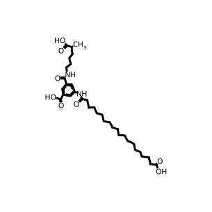 C[C@@H](CCCCNC(=O)c1cc(NC(=O)CCCCCCCCCCCCCCCCCCC(=O)O)cc(C(=O)O)c1)C(=O)O